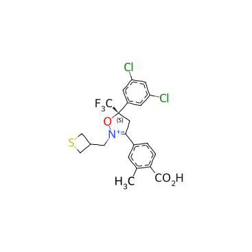 Cc1cc(C2=[N+](CC3CSC3)O[C@@](c3cc(Cl)cc(Cl)c3)(C(F)(F)F)C2)ccc1C(=O)O